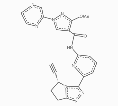 C#C[C@H]1CCc2nnc(-c3cccc(NC(=O)c4cn(-c5cnccn5)nc4OC)n3)n21